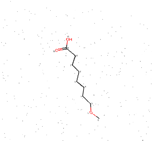 COCCCCCCCC(=O)O